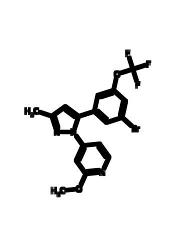 COc1cc(-n2nc(C)cc2-c2cc(Br)cc(OC(F)(F)F)c2)ccn1